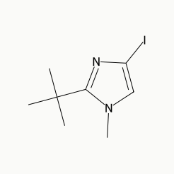 Cn1cc(I)nc1C(C)(C)C